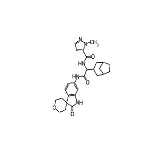 Cn1nccc1C(=O)NC(C(=O)Nc1ccc2c(c1)NC(=O)C21CCOCC1)C1CC2CCC(C2)C1